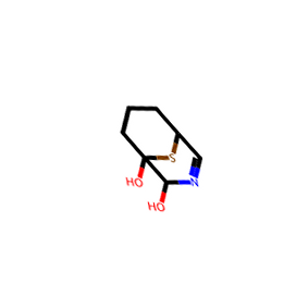 OC1N=CC2CCCC1(O)S2